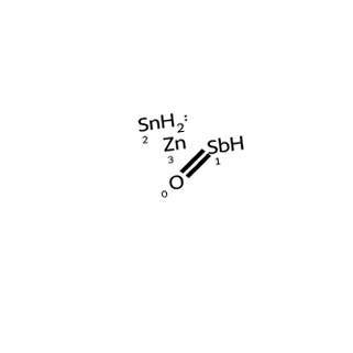 [O]=[SbH].[SnH2].[Zn]